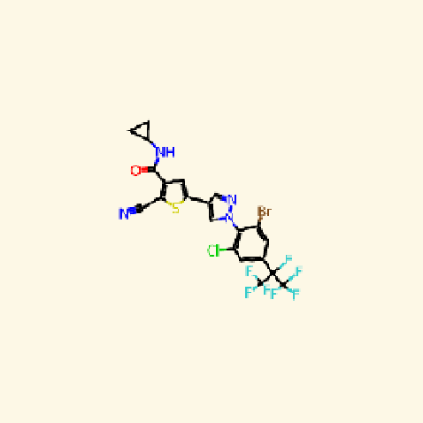 N#Cc1sc(-c2cnn(-c3c(Cl)cc(C(F)(C(F)(F)F)C(F)(F)F)cc3Br)c2)cc1C(=O)NC1CC1